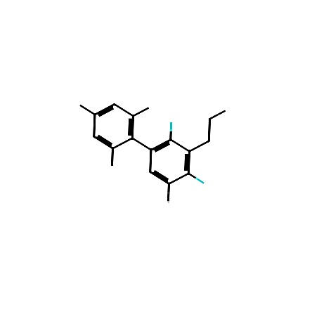 Cc1cc(C)c(-c2cc(C(F)(F)F)c(F)c(CCC(=O)O)c2F)c(C)c1